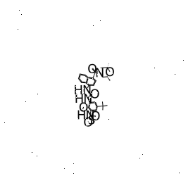 COc1c(NC(=O)Nc2ccc(C(=O)N3C[C@H](C)O[C@@H](C)C3)c3ccccc23)cc(C(C)(C)C)cc1NS(C)(=O)=O